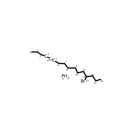 CCCCCCCCCCCCC(Br)CCC.P